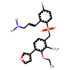 CCN(CC)C/C=C/c1cc(F)ccc1S(=O)(=O)Cc1ccc(-c2ccoc2)c(OCC#N)c1C(=O)O